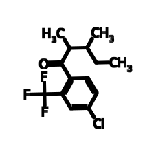 CCC(C)C(C)C(=O)c1ccc(Cl)cc1C(F)(F)F